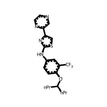 CCCC(CCC)Oc1ccc(Nc2nc(-c3cnccn3)cs2)cc1C(F)(F)F